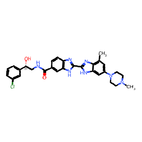 Cc1cc(N2CCN(C)CC2)cc2[nH]c(-c3nc4ccc(C(=O)NC[C@@H](O)c5cccc(Cl)c5)cc4[nH]3)nc12